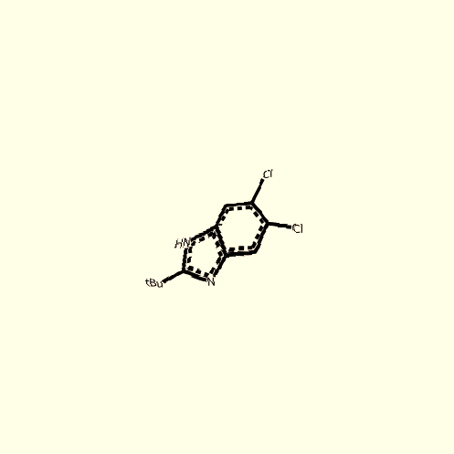 CC(C)(C)c1nc2cc(Cl)c(Cl)cc2[nH]1